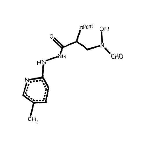 CCCCCC(CN(O)C=O)C(=O)NNc1ccc(C)cn1